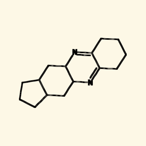 C1CCC2=NC3CC4CCCC4CC3N=C2C1